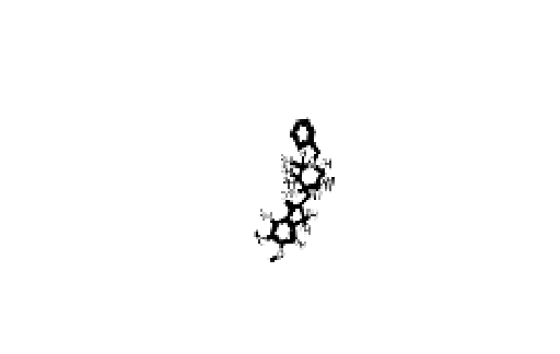 [2H]c1c(OC)c(OC)c([2H])c2c1C(=O)C(CC1([2H])C([2H])([2H])C([2H])([2H])N(Cc3ccccc3)C([2H])([2H])C1([2H])[2H])C2([2H])[2H]